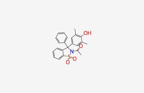 CC(=O)N1C(c2ccccc2)(c2cc(C)c(O)c(C)c2)c2ccccc2S1(=O)=O